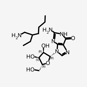 CCCCC(CC)CN.Nc1nc2c(ncn2[C@@H]2O[C@H](CO)[C@@H](O)[C@H]2O)c(=O)[nH]1